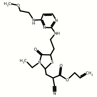 C=CCOC(=O)C(C#N)CC1SC(CCNc2nccc(NCCOC)n2)C(=O)N1CC